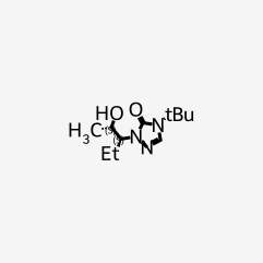 CC[C@@H]([C@H](C)O)n1ncn(C(C)(C)C)c1=O